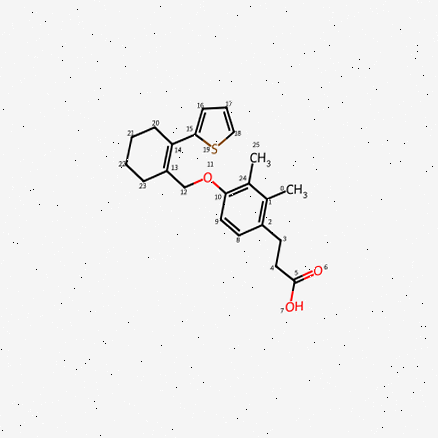 Cc1c(CCC(=O)O)ccc(OCC2=C(c3cccs3)CCCC2)c1C